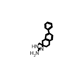 NC1=NC2(CCc3ccc(-c4ccccc4)cc3C2)CN1